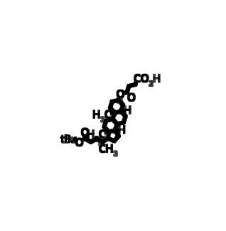 C[C@H](CCC(=O)OC(C)(C)C)C1CC[C@H]2C3CC[C@@H]4C[C@H](OC(=O)CCC(=O)O)CC[C@]4(C)C3CC[C@]12C